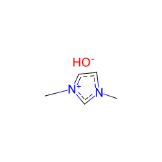 Cn1cc[n+](C)c1.[OH-]